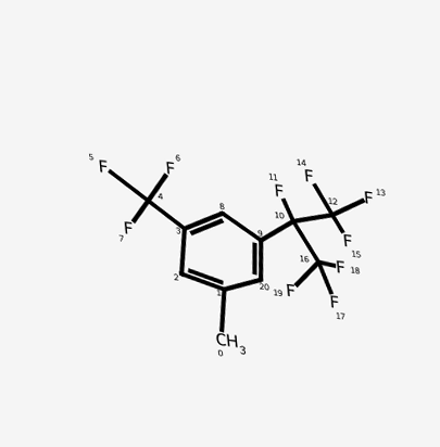 Cc1cc(C(F)(F)F)cc(C(F)(C(F)(F)F)C(F)(F)F)c1